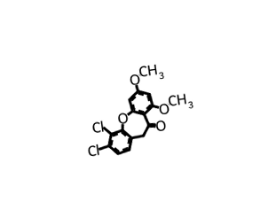 COc1cc(OC)c2c(c1)Oc1c(ccc(Cl)c1Cl)CC2=O